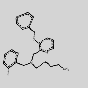 Cc1cccnc1CN(CCCCN)Cc1ncccc1OCc1ccccc1